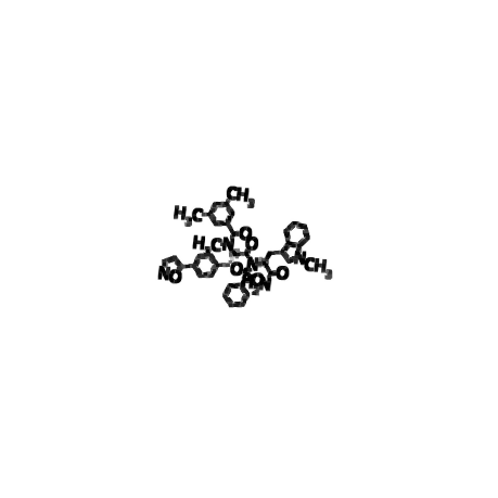 Cc1cc(C)cc(C(=O)N(C)[C@@H](Cc2ccc(-c3ccno3)cc2)C(=O)N([C@@H](Cc2cn(C)c3ccccc23)C(N)=O)S(=O)(=O)c2ccccc2)c1